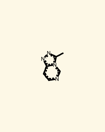 Cc1nnc2ccncn12